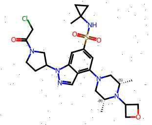 C[C@@H]1CN(c2cc(S(=O)(=O)NC3(C)CC3)cc3c2cnn3C2CCN(C(=O)CCl)C2)C[C@H](C)N1C1COC1